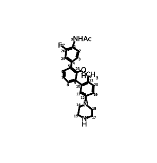 CC(=O)Nc1ccc(-c2cccc(-c3cc(N4CCNCC4)ccc3C)c2O)cc1F